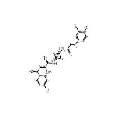 O=C(COc1ccc(Cl)c(F)c1)NC12CC(NC(=O)c3cc(=O)c4ccc(Cl)cc4o3)(C1)C2